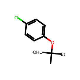 CCC(C)([C]=O)Oc1ccc(Cl)cc1